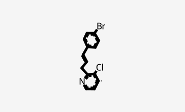 Clc1[c]ccnc1CC=Cc1ccc(Br)cc1